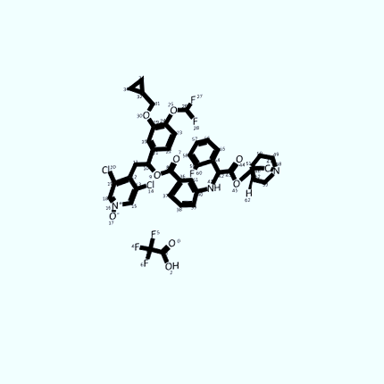 O=C(O)C(F)(F)F.O=C(OC(Cc1c(Cl)c[n+]([O-])cc1Cl)c1ccc(OC(F)F)c(OCC2CC2)c1)c1cccc(NC(C(=O)O[C@H]2CN3CCC2CC3)c2ccccc2F)c1